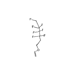 C=COCCC(F)(F)C(F)(F)C(F)(F)CF